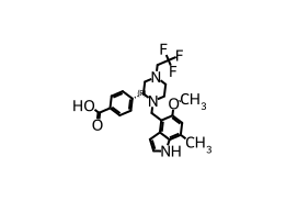 COc1cc(C)c2[nH]ccc2c1CN1CCN(CC(F)(F)F)C[C@H]1c1ccc(C(=O)O)cc1